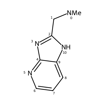 CNCc1nc2ncccc2[nH]1